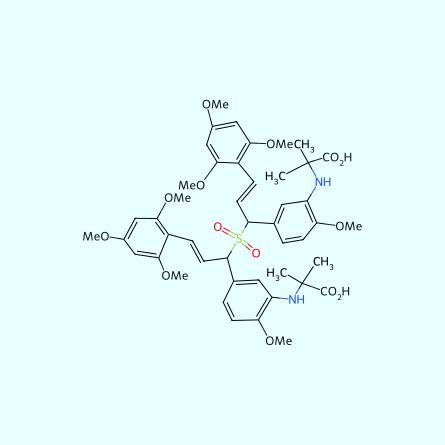 COc1cc(OC)c(C=CC(c2ccc(OC)c(NC(C)(C)C(=O)O)c2)S(=O)(=O)C(C=Cc2c(OC)cc(OC)cc2OC)c2ccc(OC)c(NC(C)(C)C(=O)O)c2)c(OC)c1